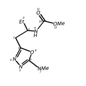 CCC(Cc1nnc(NC)o1)NC(=O)OC